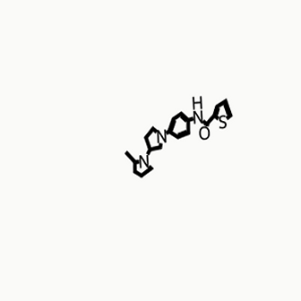 CC1CCCN1C1CCN(c2ccc(NC(=O)c3cccs3)cc2)C1